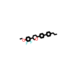 CCCc1ccc(-c2ccc(C3CCC(c4ccc(OCC)c(F)c4F)CO3)cc2)cc1